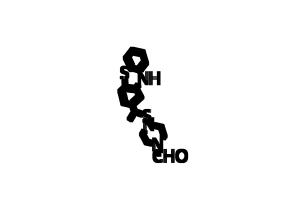 CC(SN1CCN(C=O)CC1)c1ccc2c(c1)Nc1ccccc1S2